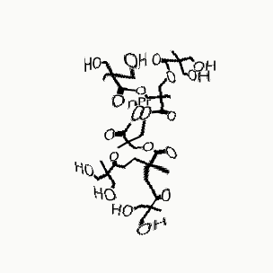 CCCOC(=O)C(C)(COC(=O)C(C)(COC(=O)C(C)(CO)CO)COC(=O)C(C)(CO)CO)COC(=O)C(C)(CCC(=O)C(C)(CO)CO)CC(=O)C(C)(CO)CO